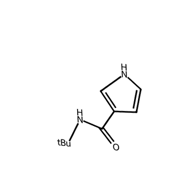 CC(C)(C)NC(=O)c1cc[nH]c1